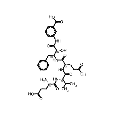 CC(C)[C@H](NC(=O)[C@@H](N)CCC(=O)O)C(=O)N[C@@H](CCC(=O)O)C(=O)N[C@@H](Cc1ccccc1)[C@@H](O)C(=O)Nc1cccc(C(=O)O)c1